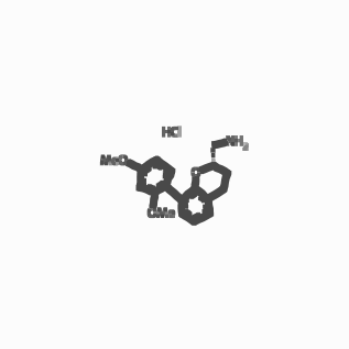 COc1ccc(-c2cccc3c2O[C@H](CN)CC3)c(OC)c1.Cl